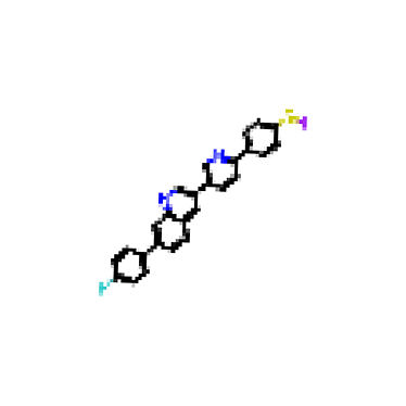 Fc1ccc(-c2ccc3cc(-c4ccc(-c5ccc(SI)cc5)nc4)cnc3c2)cc1